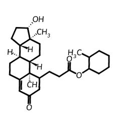 CC1CCCCC1OC(=O)CCC1CC(=O)C=C2CC[C@H]3[C@@H]4CC[C@H](O)[C@@]4(C)CC[C@@H]3[C@]21C